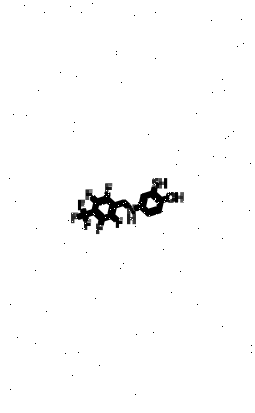 Oc1ccc(NCc2c(F)c(F)c(C(F)(F)F)c(F)c2F)cc1S